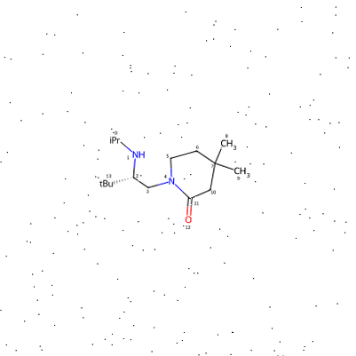 CC(C)N[C@H](CN1CCC(C)(C)CC1=O)C(C)(C)C